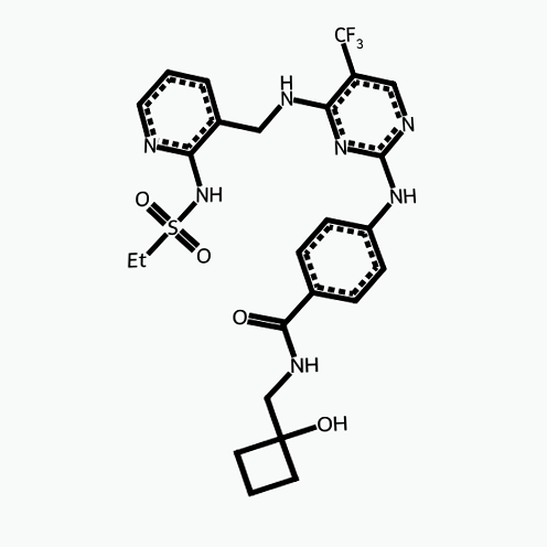 CCS(=O)(=O)Nc1ncccc1CNc1nc(Nc2ccc(C(=O)NCC3(O)CCC3)cc2)ncc1C(F)(F)F